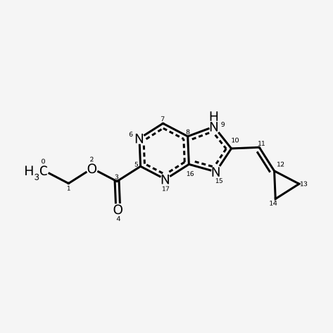 CCOC(=O)c1ncc2[nH]c(C=C3CC3)nc2n1